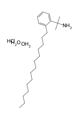 CCCCCCCCCCCCCCc1ccccc1C(C)(C)N.Cl.O.O